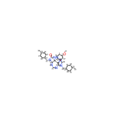 COc1ccc(C23NC(=O)N(Cc4ccc(C)cc4)C2=NC=Nc2c3ncn2Cc2ccc(C)cc2)cc1